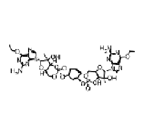 CCOc1nc(N)nc2c1ncn2[C@@H]1OC2COP(=O)(Oc3cccc(OP4(=O)OC[C@H]5O[C@@H](n6cnc7c(OCC)nc(N)nc76)[C@](C)(O)[C@@H]5O4)c3)O[C@H]2[C@@]1(C)O